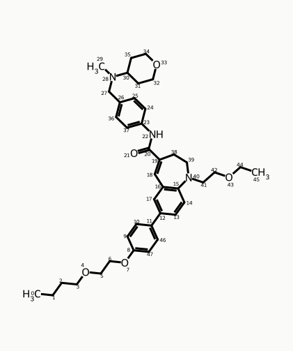 CCCCOCCOc1ccc(-c2ccc3c(c2)C=C(C(=O)Nc2ccc(CN(C)C4CCOCC4)cc2)CCN3CCOCC)cc1